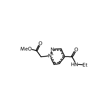 CCNC(=O)c1cc[n+](CC(=O)OC)nc1